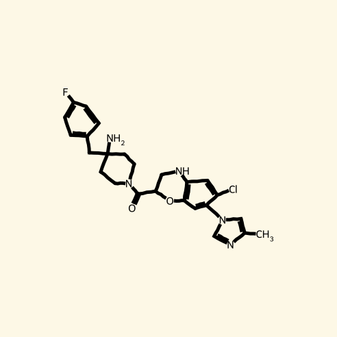 Cc1cn(-c2cc3c(cc2Cl)NCC(C(=O)N2CCC(N)(Cc4ccc(F)cc4)CC2)O3)cn1